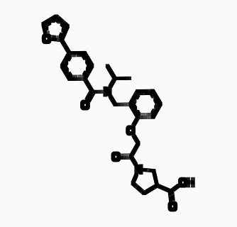 CC(C)N(Cc1ccccc1OCC(=O)N1CCC(C(=O)O)C1)C(=O)c1ccc(-c2ccco2)cc1